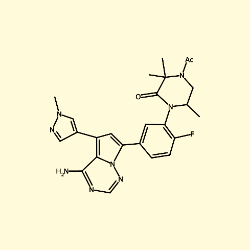 CC(=O)N1CC(C)N(c2cc(-c3cc(-c4cnn(C)c4)c4c(N)ncnn34)ccc2F)C(=O)C1(C)C